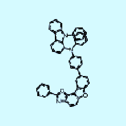 c1ccc(-c2nc3ccc4oc5ccc(-c6ccc(N(c7ccccc7)c7cccc8c9ccccc9n(-c9ccccc9)c78)cc6)cc5c4c3o2)cc1